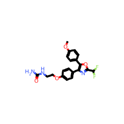 COc1ccc(-c2oc(C(F)F)nc2-c2ccc(OCCNC(N)=O)cc2)cc1